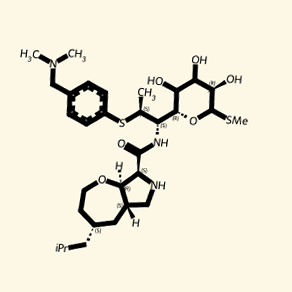 CSC1O[C@H]([C@H](NC(=O)[C@H]2NC[C@@H]3C[C@H](CC(C)C)CCO[C@H]32)[C@H](C)Sc2ccc(CN(C)C)cc2)C(O)C(O)[C@H]1O